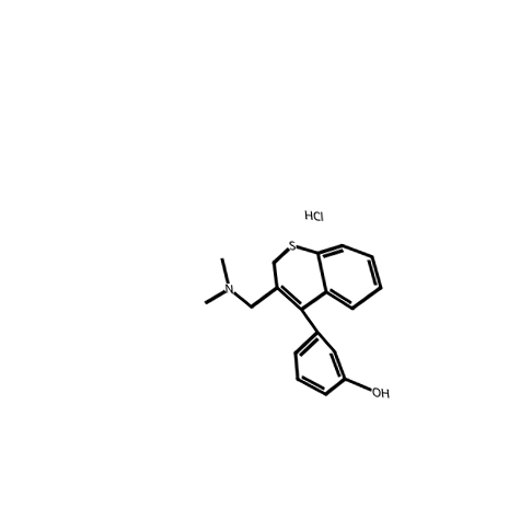 CN(C)CC1=C(c2cccc(O)c2)c2ccccc2SC1.Cl